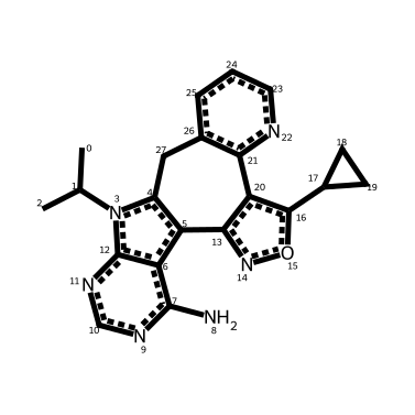 CC(C)n1c2c(c3c(N)ncnc31)-c1noc(C3CC3)c1-c1ncccc1C2